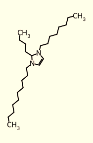 CCCCCCCCCCN1C=CN(CCCCCCCC)C1CCCC